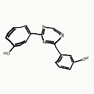 Oc1cccc(-c2ncnc(-c3cccc(O)c3)n2)c1